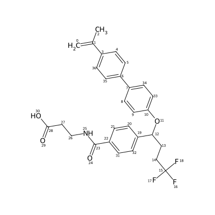 C=C(C)c1ccc(-c2ccc(OC(CCC(F)(F)F)c3ccc(C(=O)NCCC(=O)O)cc3)cc2)cc1